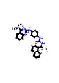 CC(NC(=O)NC1CCC(Nc2nc3c(c(N(C)C)n2)CCCC3)CC1)c1cccc2ccccc12